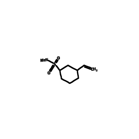 C=CC1CCCC(S(=O)(=O)NC)C1